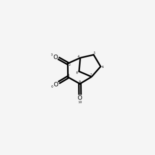 O=C1C(=O)C2CCC(C2)C1=O